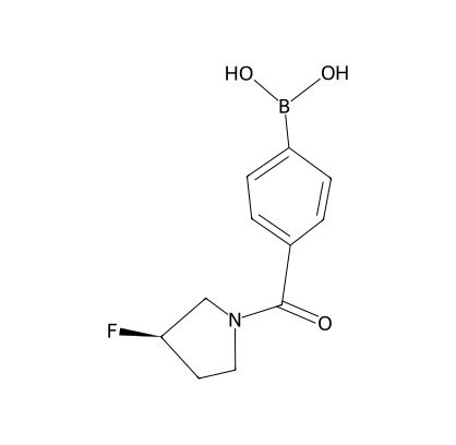 O=C(c1ccc(B(O)O)cc1)N1CC[C@@H](F)C1